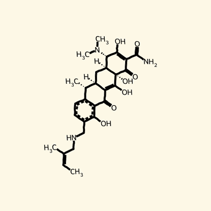 C/C=C(/C)CNCc1ccc2c(c1O)C(=O)C1=C(O)[C@]3(O)C(=O)C(C(N)=O)=C(O)[C@@H](N(C)C)[C@@H]3C[C@@H]1[C@H]2C